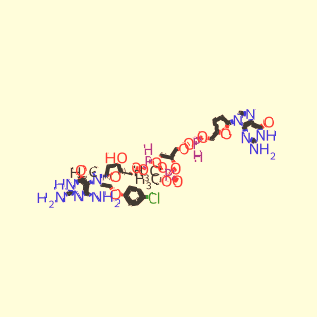 COP(=O)(OC)OC(COOPOCC1CCC(n2cnc3c(=O)[nH]c(N)nc32)O1)COPOOC[C@H]1O[C@@H]([N+](C)(CCOc2ccc(Cl)cc2)c2c(N)nc(N)[nH]c2=O)CC1O